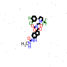 CNC(=O)Nc1ccc2c(c1)CCC21OC(=O)N(CC(=O)N2[C@H](c3ccc(F)c(Cl)c3)CC[C@@H]2C(F)(F)F)C1=O